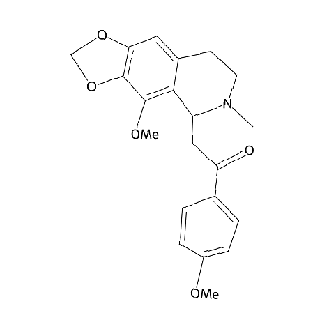 COc1ccc(C(=O)CC2c3c(cc4c(c3OC)OCO4)CCN2C)cc1